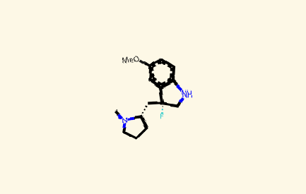 COc1ccc2c(c1)[C@](F)(C[C@@H]1CCCN1C)CN2